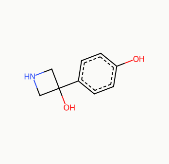 Oc1ccc(C2(O)CNC2)cc1